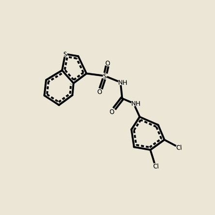 O=C(Nc1ccc(Cl)c(Cl)c1)NS(=O)(=O)c1csc2ccccc12